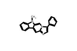 Cn1c2ccccc2c2cc3ncc(-c4ccccc4)n3cc21